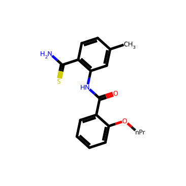 CCCOc1ccccc1C(=O)Nc1cc(C)ccc1C(N)=S